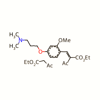 CCOC(=O)C(=Cc1ccc(OCCCN(C)C)cc1OC)C(C)=O.CCOC(=O)CC(C)=O